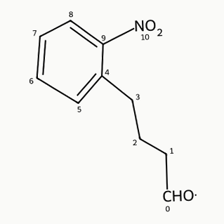 O=[C]CCCc1ccccc1[N+](=O)[O-]